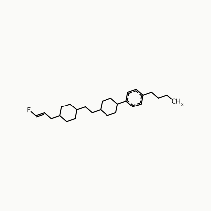 CCCCc1ccc(C2CCC(CCC3CCC(CC=CF)CC3)CC2)cc1